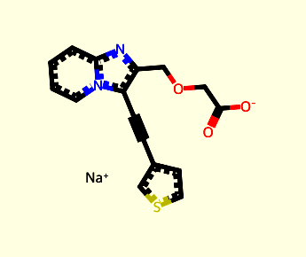 O=C([O-])COCc1nc2ccccn2c1C#Cc1ccsc1.[Na+]